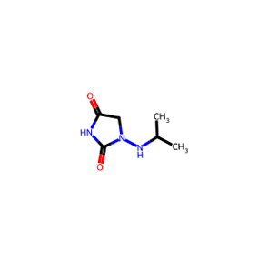 CC(C)NN1CC(=O)NC1=O